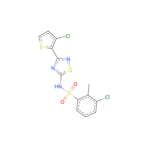 Cc1c(Cl)cccc1S(=O)(=O)Nc1nc(-c2sccc2Cl)ns1